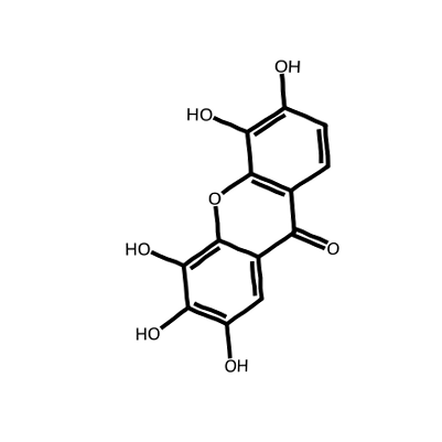 O=c1c2ccc(O)c(O)c2oc2c(O)c(O)c(O)cc12